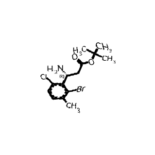 Cc1ccc(Cl)c([C@H](N)CC(=O)OC(C)(C)C)c1Br